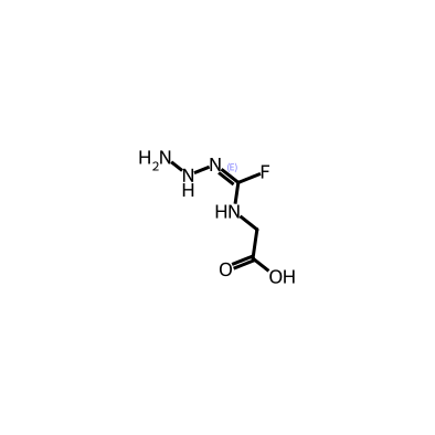 NN/N=C(/F)NCC(=O)O